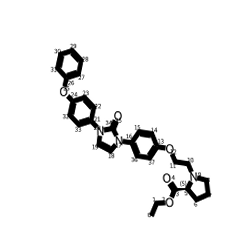 CCOC(=O)[C@@H]1CCCN1CCOc1ccc(-n2ccn(-c3ccc(Oc4ccccc4)cc3)c2=O)cc1